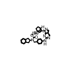 CC(C)(C)OC(=O)N(Cc1ccc(Nc2ncc3cnn([C@H]4C[C@@H]5CC[C@H]4C5)c3n2)cc1)C1Cc2ccccc2C1